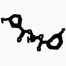 O=C(OBOC(=O)c1cccc(F)c1)c1cccc(F)c1